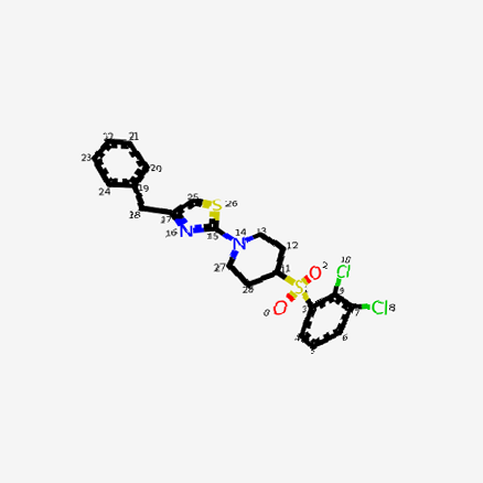 O=S(=O)(c1cccc(Cl)c1Cl)C1CCN(c2nc(Cc3ccccc3)cs2)CC1